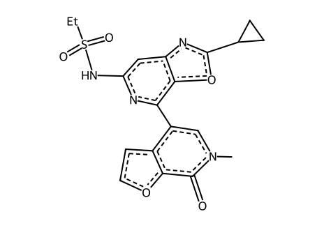 CCS(=O)(=O)Nc1cc2nc(C3CC3)oc2c(-c2cn(C)c(=O)c3occc23)n1